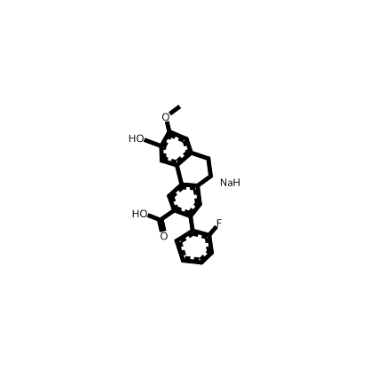 COc1cc2c(cc1O)-c1cc(C(=O)O)c(-c3ccccc3F)cc1CC2.[NaH]